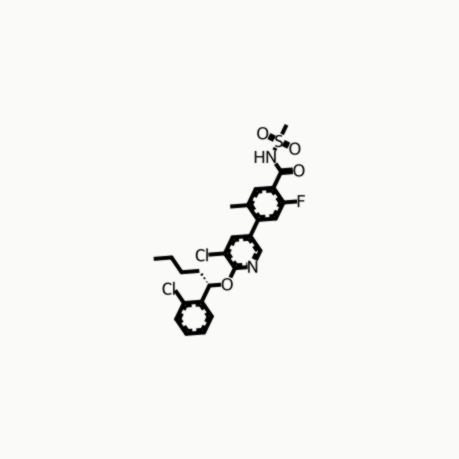 CCCC[C@H](Oc1ncc(-c2cc(F)c(C(=O)NS(C)(=O)=O)cc2C)cc1Cl)c1ccccc1Cl